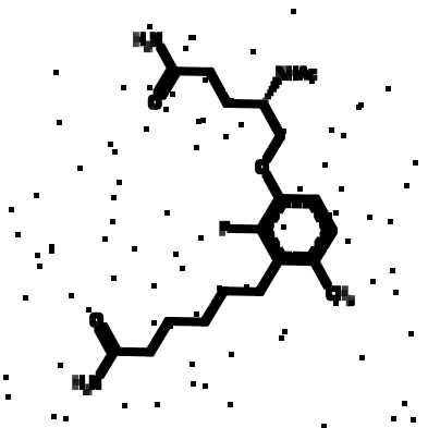 CC(=O)N[C@@H](CCC(N)=O)COc1ccc(C)c(CCCCCC(N)=O)c1F